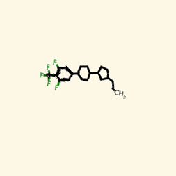 CCCC1CCC(C2CCC(c3cc(F)c(C(F)(F)F)c(F)c3)CC2)C1